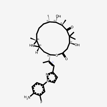 C/C(=C\c1ccn(-c2ccc(N)c(F)c2)n1)[C@@H]1C[C@@H]2N[C@]2(C)CCC[C@H](C)[C@H](O)[C@@H](C)C(=O)C(C)(C)[C@@H](O)CC(=O)O1